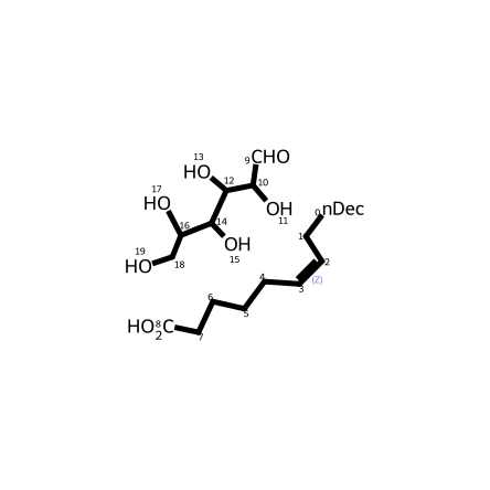 CCCCCCCCCCC/C=C\CCCCC(=O)O.O=CC(O)C(O)C(O)C(O)CO